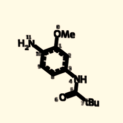 COc1cc(NC(=O)C(C)(C)C)ccc1N